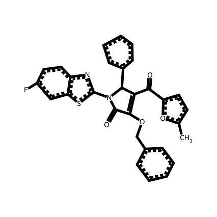 Cc1ccc(C(=O)C2=C(OCc3ccccc3)C(=O)N(c3nc4ccc(F)cc4s3)C2c2ccccc2)o1